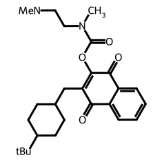 CNCCN(C)C(=O)OC1=C(CC2CCC(C(C)(C)C)CC2)C(=O)c2ccccc2C1=O